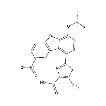 Cc1sc(-c2ccc(OC(F)F)c3oc4ccc([N+](=O)[O-])cc4c23)nc1C(=O)O